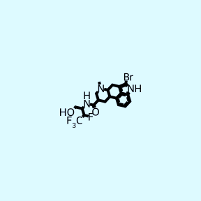 CN1CC(C(=O)NC(CO)C(F)C(F)(F)F)CC2c3cccc4[nH]c(Br)c(c34)CC21